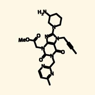 CC#CCn1c(N2CCCC(N)C2)nc2c1c(=O)n(Cc1nccc(C)n1)c(=O)n2CC(=O)OC